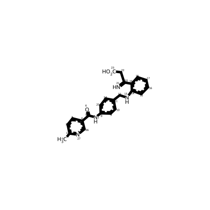 Cc1ccc(C(=O)Nc2ccc(CNc3ccccc3C(=N)CC(=O)O)cc2)cn1